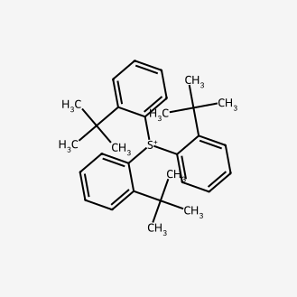 CC(C)(C)c1ccccc1[S+](c1ccccc1C(C)(C)C)c1ccccc1C(C)(C)C